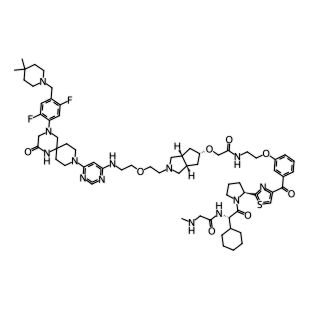 CNCC(=O)N[C@H](C(=O)N1CCC[C@H]1c1nc(C(=O)c2cccc(OCCNC(=O)CO[C@@H]3C[C@@H]4CN(CCOCCNc5cc(N6CCC7(CC6)CN(c6cc(F)c(CN8CCC(C)(C)CC8)cc6F)CC(=O)N7)ncn5)C[C@@H]4C3)c2)cs1)C1CCCCC1